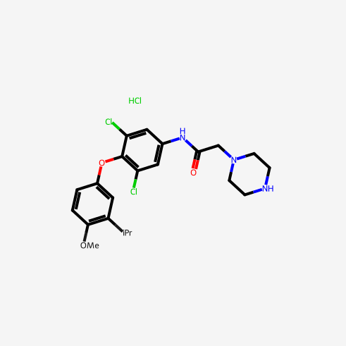 COc1ccc(Oc2c(Cl)cc(NC(=O)CN3CCNCC3)cc2Cl)cc1C(C)C.Cl